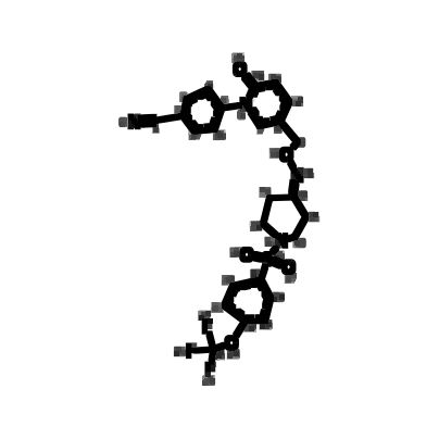 N#Cc1ccc(-n2cc(CON=C3CCN(S(=O)(=O)c4ccc(OC(F)(F)F)cc4)CC3)ccc2=O)cc1